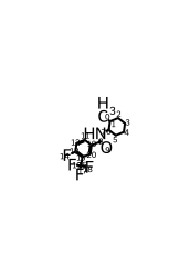 CC1CCCCC1NC(=O)c1ccc(F)c(C(F)(F)F)c1